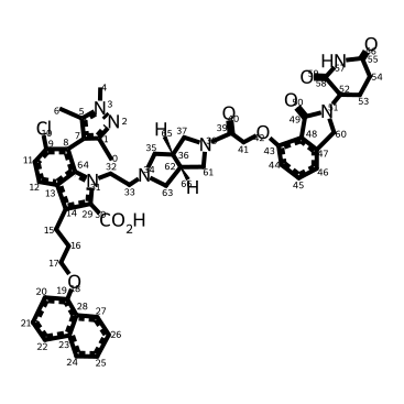 Cc1nn(C)c(C)c1-c1c(Cl)ccc2c(CCCOc3cccc4ccccc34)c(C(=O)O)n(CCN3C[C@@H]4CN(C(=O)COc5cccc6c5C(=O)N(C5CCC(=O)NC5=O)C6)C[C@@H]4C3)c12